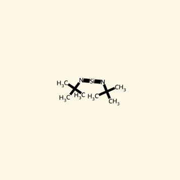 CC(C)(C)N=[Si]=NC(C)(C)C